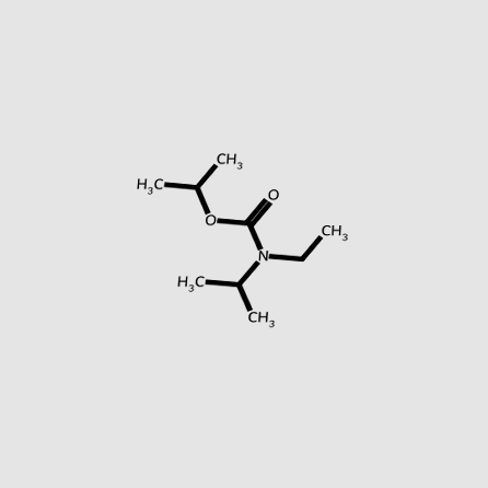 CCN(C(=O)OC(C)C)C(C)C